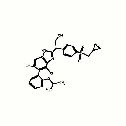 CC(C)Oc1ccccc1-c1c(Cl)cc2[nH]c([C@@H](CO)c3ccc(S(=O)(=O)CC4CC4)cc3)nc2c1Cl